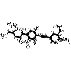 C=C(/C(S)=C\C(=C/C)OC)c1cc(F)c(C#Cc2cnc(N)c(C=N)c2)c(F)c1N=O